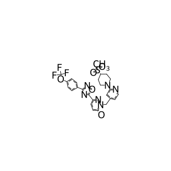 CS(=O)(=O)C1CCN(c2cc(Cn3nc(-c4nc(-c5ccc(OC(F)(F)F)cc5)no4)ccc3=O)ccn2)CC1